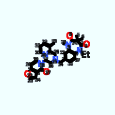 CCN1C(=O)C(C)(C)C(=O)N(C)c2cc(CN(CCn3ccc4occc4c3=O)Cc3ncccc3C)ccc21